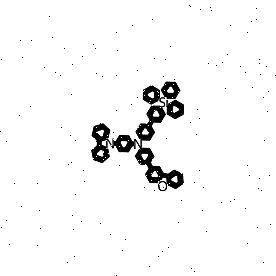 c1ccc([Si](c2ccccc2)(c2ccccc2)c2ccc(-c3ccc(N(c4ccc(-c5ccc6oc7ccccc7c6c5)cc4)c4ccc(-n5c6ccccc6c6ccccc65)cc4)cc3)cc2)cc1